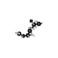 N#Cc1c(-c2ccc(F)cc2)c(=O)c(C(=O)Nc2ccc(-c3cc(-c4cnn(C5CCNCC5)c4)cnc3N)c(F)c2)cn1C1CCC1